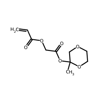 C=CC(=O)OCC(=O)OC1(C)COCCO1